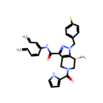 C=C/C=C\C(=C/C=C)NC(=O)c1nn(Cc2ccc(F)cc2)c2c1CN(C(=O)c1ccc[nH]1)C[C@H]2C